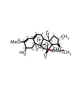 C=C=C1[C@@H](C)C[C@H]2[C@@H]3CC=C4C=C(OC)C(O)C[C@]4(C)[C@@]3(OC(=O)OC)CC[C@]12C